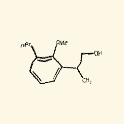 [CH2]C(CO)c1cccc(CCC)c1OC